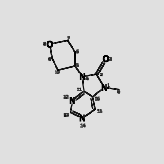 Cn1c(=O)n(C2CCOCC2)c2ncncc21